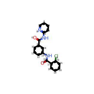 O=C(Nc1ccccn1)c1cccc(NC(=O)c2ccccc2Cl)c1